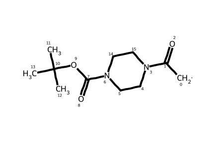 [CH2]C(=O)N1CCN(C(=O)OC(C)(C)C)CC1